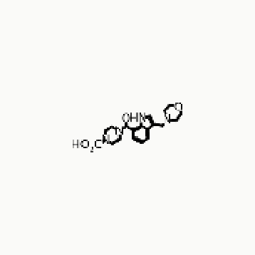 O=C(O)N1CCN(C(=O)c2cccc3c(CN4CCOCC4)c[nH]c23)CC1